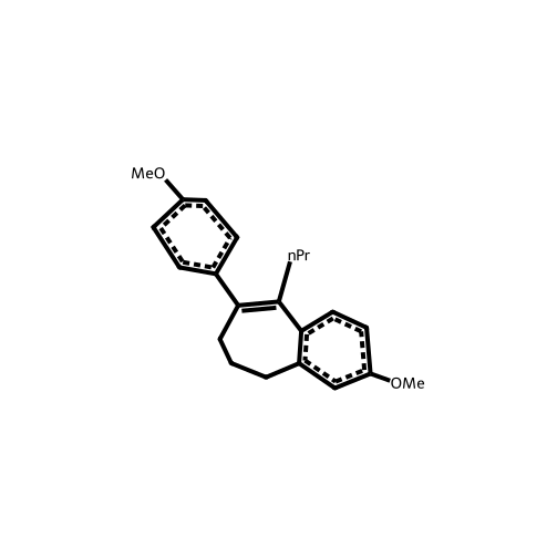 CCCC1=C(c2ccc(OC)cc2)CCCc2cc(OC)ccc21